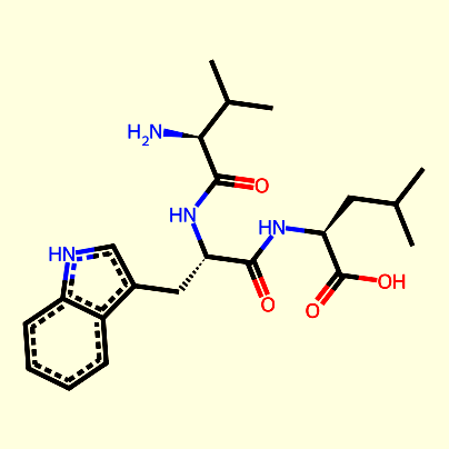 CC(C)C[C@H](NC(=O)[C@H](Cc1c[nH]c2ccccc12)NC(=O)[C@@H](N)C(C)C)C(=O)O